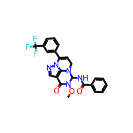 CON1C(=O)c2cnn3c2N(CC=C3c2cccc(C(F)(F)F)c2)C1NC(=O)c1ccccc1